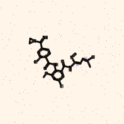 C=N/C(=C\C=C(/C)Cl)NC(=O)c1cc(Cl)cc(OC)c1NC(=O)c1ccc(C(=N)N2CC2)cc1Cl